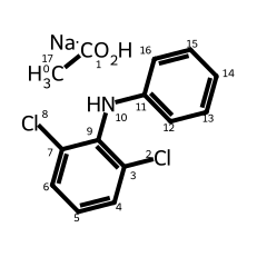 CC(=O)O.Clc1cccc(Cl)c1Nc1ccccc1.[Na]